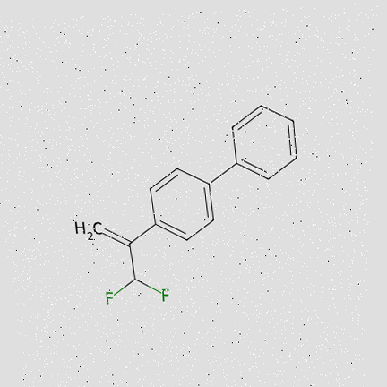 C=C(c1ccc(-c2ccccc2)cc1)C(F)F